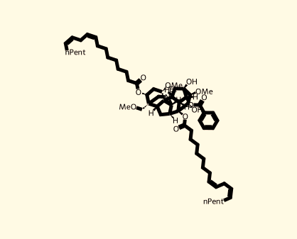 CCCCC/C=C\C/C=C\CCCCCCCC(=O)O[C@@H]1C[C@H](OC)[C@@]23[C@@H]4C[C@@]5(O)[C@H](OC(=O)c6ccccc6)[C@@H]4[C@](OC(=O)CCCCCCC/C=C\C/C=C\CCCCC)([C@@H](O)[C@@H]5OC)[C@H]4C[C@@H]2[C@]1(COC)CN(CC)[C@H]43